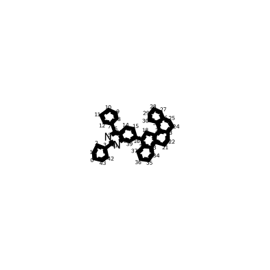 c1ccc(-c2nc(-c3ccccc3)c3ccc(-c4cc5c(ccc6ccc7ccccc7c65)c5ccccc45)cc3n2)cc1